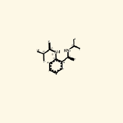 C=C(NC(C)C)c1ccccc1NC(=C)C(C)C